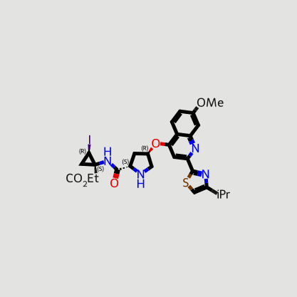 CCOC(=O)[C@@]1(NC(=O)[C@@H]2C[C@@H](Oc3cc(-c4nc(C(C)C)cs4)nc4cc(OC)ccc34)CN2)C[C@H]1I